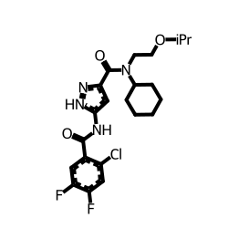 CC(C)OCCN(C(=O)c1cc(NC(=O)c2cc(F)c(F)cc2Cl)[nH]n1)C1CCCCC1